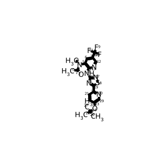 CC(=O)N(C)c1cc(C(F)(F)F)cnc1Nc1nsc(-c2ccc(OC(C)(C)C)cn2)n1